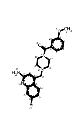 COc1cccc(C(=O)N2CCN(Cc3cc(N)nc4cc(Br)ccc34)CC2)c1